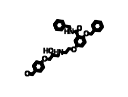 O=Cc1ccc(OCC(O)CNCCOc2ccc(OCc3ccccc3)c(C(=O)NCc3ccccc3)c2)cc1